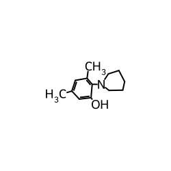 Cc1cc(C)c(N2CCCCC2)c(O)c1